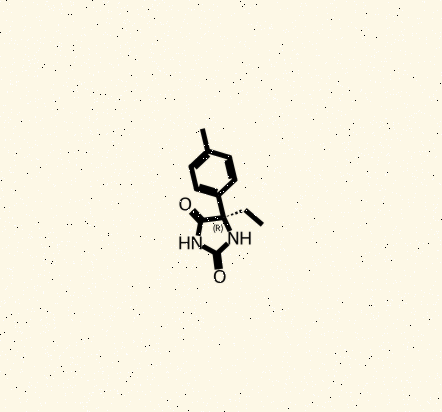 CC[C@]1(c2ccc(C)cc2)NC(=O)NC1=O